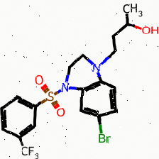 CC(O)CCN1CCN(S(=O)(=O)c2cccc(C(F)(F)F)c2)c2cc(Br)ccc21